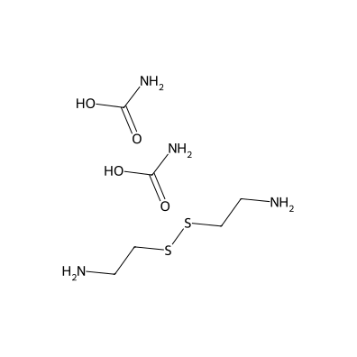 NC(=O)O.NC(=O)O.NCCSSCCN